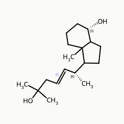 C[C@H](/C=C/CC(C)(C)O)C1CCC2[C@@H](O)CCCC12C